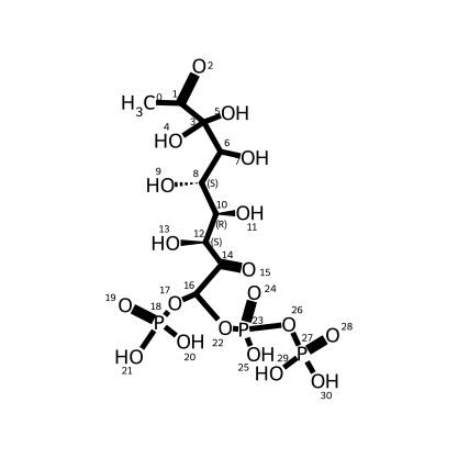 CC(=O)C(O)(O)C(O)[C@@H](O)[C@@H](O)[C@H](O)C(=O)C(OP(=O)(O)O)OP(=O)(O)OP(=O)(O)O